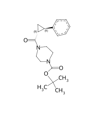 CC(C)(C)OC(=O)N1CCN(C(=O)[C@@H]2C[C@H]2c2ccccc2)CC1